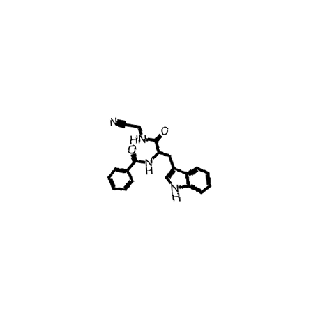 N#CCNC(=O)C(Cc1c[nH]c2ccccc12)NC(=O)c1ccccc1